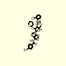 CCc1ccc(C(=O)Nc2ncnc3c2ncn3[C@@H]2O[C@@H]3COP(=S)(Oc4ccccc4Cl)OC3C2OC2CCCCO2)cc1